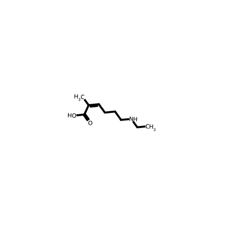 CCNCCCC=C(C)C(=O)O